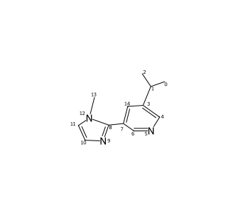 CC(C)c1cncc(-c2nccn2C)c1